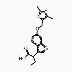 CCC(C(=O)O)c1csc2cc(OCc3nc(C)oc3C)ccc12